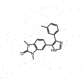 Cc1cccc(-c2nc[nH]c2-c2ccc3c(c2)n(C)c(=O)n3C)c1